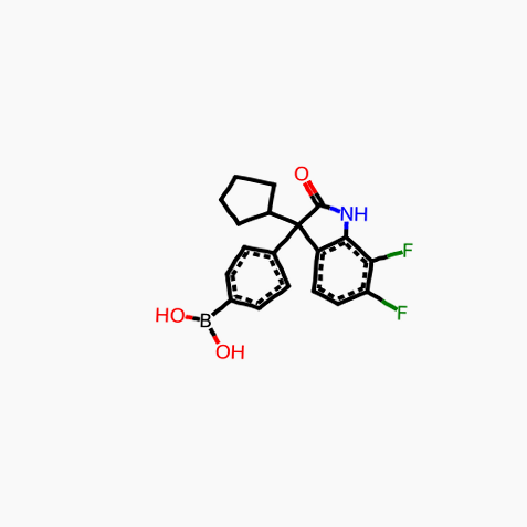 O=C1Nc2c(ccc(F)c2F)C1(c1ccc(B(O)O)cc1)C1CCCC1